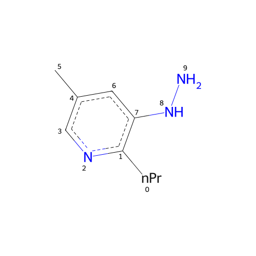 CCCc1ncc(C)cc1NN